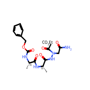 CCOC(=O)C(=O)N(CC(N)=O)NC(=O)[C@H](C)NC(=O)[C@H](C)NC(=O)OCc1ccccc1